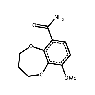 COc1ccc(C(N)=O)c2c1OCCCO2